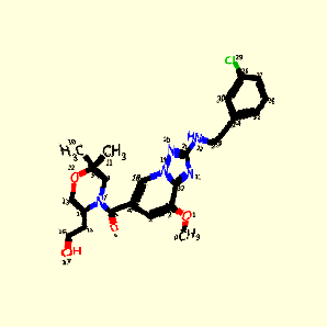 COc1cc(C(=O)N2CC(C)(C)OCC2CCO)cn2nc(NCc3cccc(Cl)c3)nc12